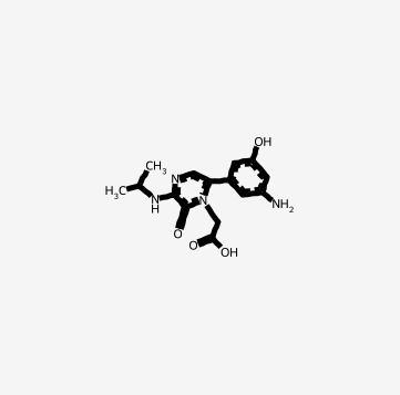 CC(C)Nc1ncc(-c2cc(N)cc(O)c2)n(CC(=O)O)c1=O